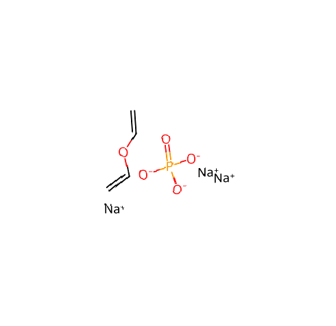 C=COC=C.O=P([O-])([O-])[O-].[Na+].[Na+].[Na+]